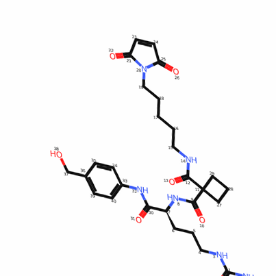 NC(=O)NCCC[C@H](NC(=O)C1(C(=O)NCCCCCN2C(=O)C=CC2=O)CCC1)C(=O)Nc1ccc(CO)cc1